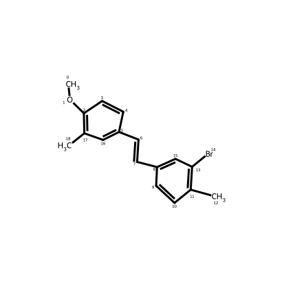 COc1ccc(C=Cc2ccc(C)c(Br)c2)cc1C